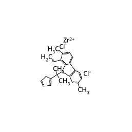 C=Cc1c(C)ccc2c1C(C(C)(C)C1=CC=CC1)c1cc(C)ccc1-2.[Cl-].[Cl-].[Zr+2]